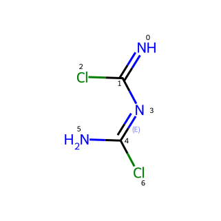 N=C(Cl)/N=C(\N)Cl